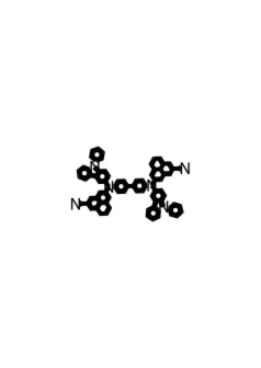 N#CC1=CC2=CC=CC3=CC(N(c4ccc(-c5ccc(N(c6cc7c8c(cc(C#N)cc8c6)CC=C7)c6ccc7c(c6)c6ccccc6n7-c6ccccc6)cc5)cc4)c4ccc5c(c4)c4ccccc4n5-c4ccccc4)=CC(=C1)C23